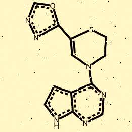 C1=C(c2nnco2)SCCN1c1ncnc2[nH]ccc12